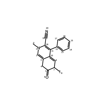 CN1C=C2CC(=O)C(I)C=C2C(c2ccccc2)=C1C#N